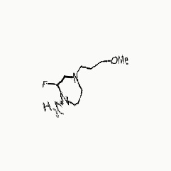 COCCCN1CCN(C)C(F)C1